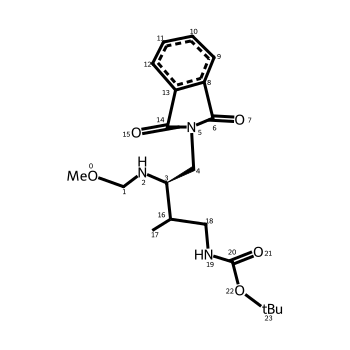 COCN[C@@H](CN1C(=O)c2ccccc2C1=O)C(C)CNC(=O)OC(C)(C)C